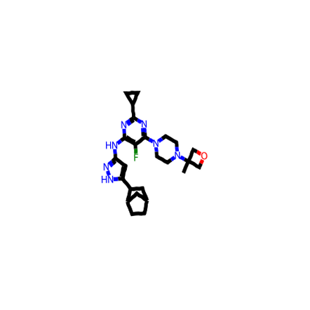 CC1(N2CCN(c3nc(C4CC4)nc(Nc4cc(C5CC6CCC5C6)[nH]n4)c3F)CC2)COC1